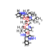 CC[C@H](C)[C@@H]([C@@H](CC(=O)N1CCC[C@H]1[C@H](OC)[C@@H](C)C(=O)N[C@@H](Cc1ccccc1)c1cc[nH]n1)OC)N(C)C(=O)[C@@H](NC(=O)[C@H]1N[C@@H]2CC[C@H]1C2)C(C)C